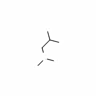 CCC(F)C[SiH](Cl)Cl